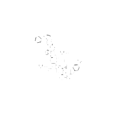 CC[C@H](C)[C@@H]([C@@H](CC(=O)N1CCC[C@H]1[C@H](OC)[C@@H](C)C(=O)N[C@@H](Cc1ccccc1)c1nccs1)OC)N(C)C[C@](C=O)(NC(=O)[C@H](C(C)C)N(C)CCc1ccc(N(C)C)cc1)C(C)C